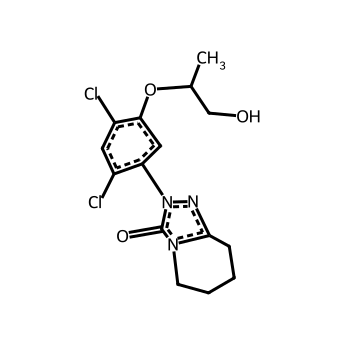 CC(CO)Oc1cc(-n2nc3n(c2=O)CCCC3)c(Cl)cc1Cl